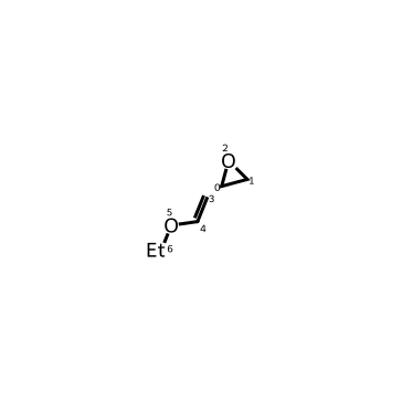 C1CO1.C=COCC